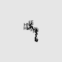 CNc1sc(-c2nnc(SCCCN3CCC3)n2C)cc1C(=N)C(F)(F)F